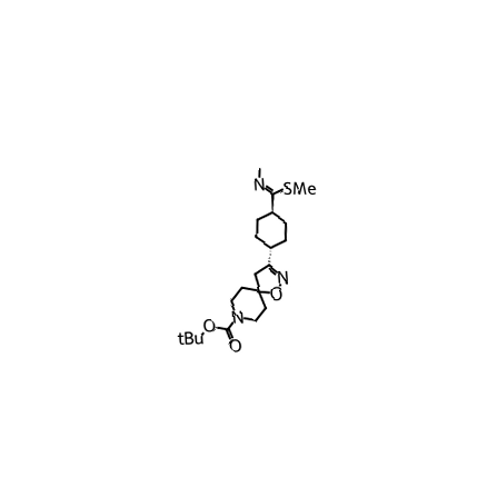 CN=C(SC)[C@H]1CC[C@H](C2=NOC3(CCN(C(=O)OC(C)(C)C)CC3)C2)CC1